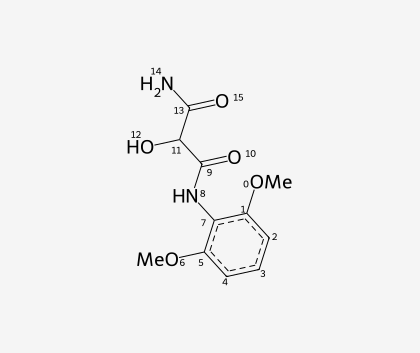 COc1cccc(OC)c1NC(=O)C(O)C(N)=O